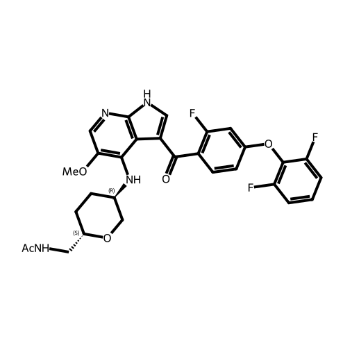 COc1cnc2[nH]cc(C(=O)c3ccc(Oc4c(F)cccc4F)cc3F)c2c1N[C@@H]1CC[C@@H](CNC(C)=O)OC1